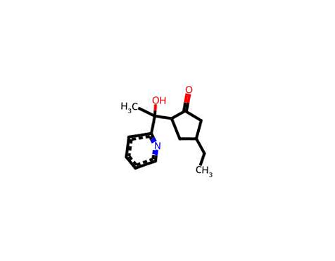 CCC1CC(=O)C(C(C)(O)c2ccccn2)C1